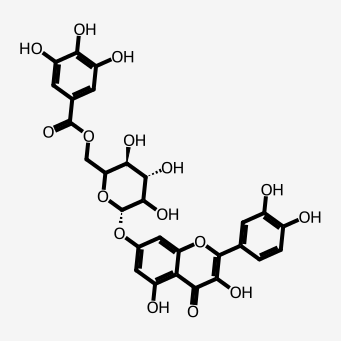 O=C(OCC1O[C@@H](Oc2cc(O)c3c(=O)c(O)c(-c4ccc(O)c(O)c4)oc3c2)C(O)[C@@H](O)[C@@H]1O)c1cc(O)c(O)c(O)c1